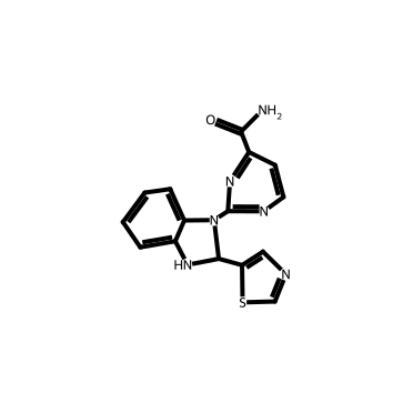 NC(=O)c1ccnc(N2c3ccccc3NC2c2cncs2)n1